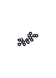 c1ccc(-c2c3ccccc3c(-c3ccc(-c4c5ccccc5c(-c5ccc6ccccc6c5)c5c4cnc4ccccc45)c4ccccc34)c3cnc4ccccc4c23)cc1